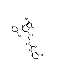 O=C(NCCNc1cc(-c2ccccc2Cl)nc2c(Br)cnn12)Nc1cccc(Br)c1